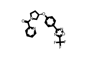 O=C(c1ccccn1)N1CC[C@@H](Oc2ccc(-c3noc(C(F)(F)F)n3)cc2)C1